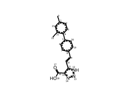 Cc1ccc(-c2ccc(C=Cc3[nH]nnc3C(=O)O)cc2)c(C)c1